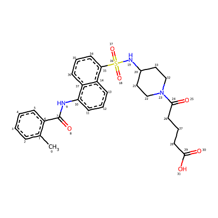 Cc1ccccc1C(=O)Nc1cccc2c(S(=O)(=O)NC3CCN(C(=O)CCCC(=O)O)CC3)cccc12